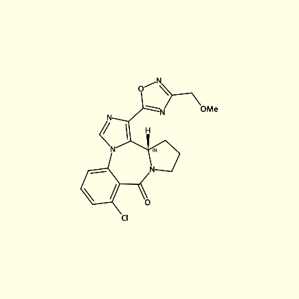 COCc1noc(-c2ncn3c2[C@@H]2CCCN2C(=O)c2c(Cl)cccc2-3)n1